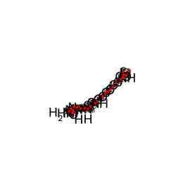 CCOC(=O)[C@H](CSC)NC(=O)CCOCCOCCOCCOCCOCCOCCNC(=O)CC[C@@H](C)NC(=O)c1ccc(NCc2cnc3nc(N)[nH]c(=O)c3n2)cc1